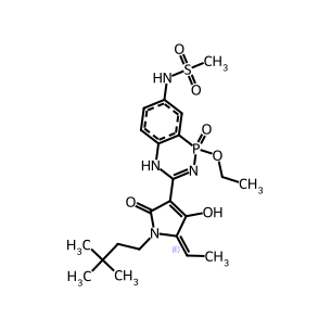 C/C=C1\C(O)=C(C2=NP(=O)(OCC)c3cc(NS(C)(=O)=O)ccc3N2)C(=O)N1CCC(C)(C)C